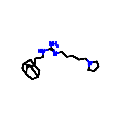 NC(=NCCCCCN1CCCC1)NCCC12CC3CC(CC(C3)C1)C2